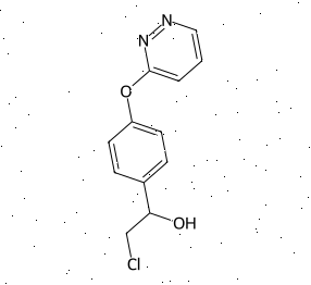 OC(CCl)c1ccc(Oc2cccnn2)cc1